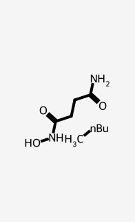 CCCCC.NC(=O)CCC(=O)NO